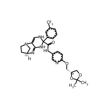 CC1(C)OC[C@@H](COc2ccc(NC(=O)C3(c4cccc(C(F)(F)F)c4)NC=C4C(=N[C@H]5CCN4C5)N3)cn2)O1